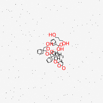 CC(C)(C)C1(C(=O)OC(=O)C2(CCO)CC3C=CC2C3)CC2C=CC1C2.O=C(O)C1CC2C=CC1C2.O=C1C=CC(=O)O1.OCCCCO